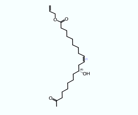 C=CCOC(=O)CCCCCCC/C=C\C[C@H](O)CCCCCCC(C)=O